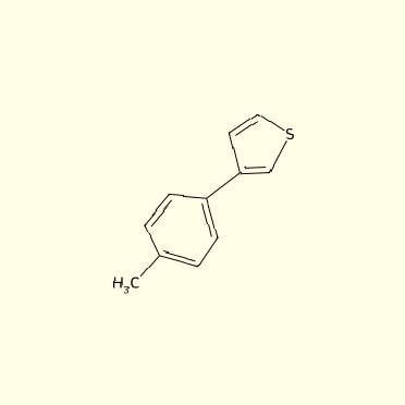 Cc1ccc(-c2ccsc2)cc1